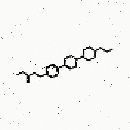 C=C(CC)CCc1ccc(C2=CCC(C3CCC(CCC)CC3)CC2)cc1